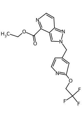 CCOC(=O)c1nccc2nn(Cc3ccnc(OCC(F)(F)F)c3)cc12